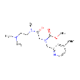 CCN(CCN(C)C)C(=O)CN(Cc1cc(C=O)ccn1)C(=O)OC(C)(C)C